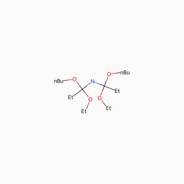 CCCCOC(CC)([N]C(CC)(OCC)OCCCC)OCC